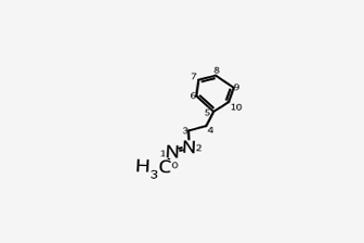 CN=NCCc1ccccc1